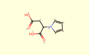 O=C(O)CC(C(=O)O)n1cccc1